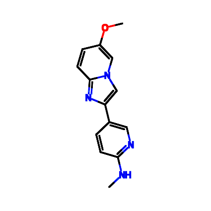 CNc1ccc(-c2cn3cc(OC)ccc3n2)cn1